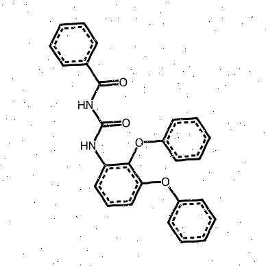 O=C(NC(=O)c1ccccc1)Nc1cccc(Oc2ccccc2)c1Oc1ccccc1